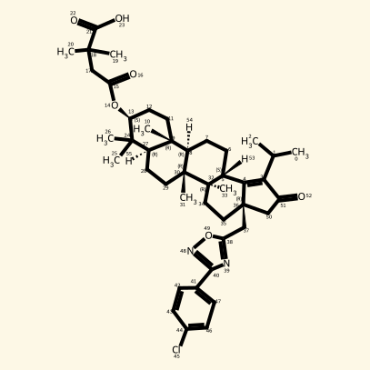 CC(C)C1=C2[C@H]3CC[C@@H]4[C@@]5(C)CC[C@H](OC(=O)CC(C)(C)C(=O)O)C(C)(C)[C@@H]5CC[C@@]4(C)[C@]3(C)CC[C@@]2(Cc2nc(-c3ccc(Cl)cc3)no2)CC1=O